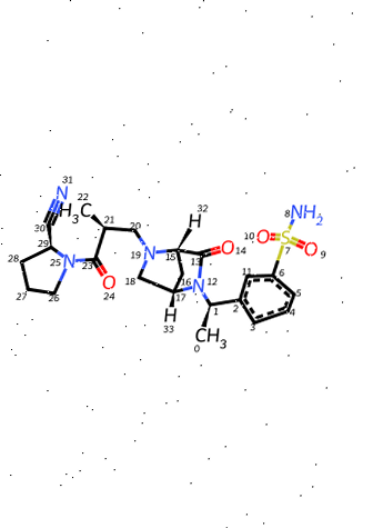 C[C@H](c1cccc(S(N)(=O)=O)c1)N1C(=O)[C@@H]2C[C@H]1CN2C[C@H](C)C(=O)N1CCC[C@H]1C#N